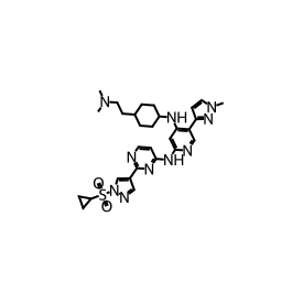 CN(C)CCC1CCC(Nc2cc(Nc3ccnc(-c4cnn(S(=O)(=O)C5CC5)c4)n3)ncc2-c2ccn(C)n2)CC1